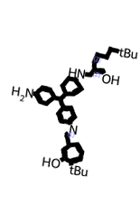 CC(C)(C)CC/C=C\C(=C\O)CNC1C=CC(C(c2ccc(/N=C/C3C=CC=C(C(C)(C)C)C(O)=C3)cc2)C2C=CC(N)=CC2)CC1